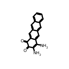 NC1=C(N)c2cc3cc4ccccc4cc3cc2C(=O)C1=O